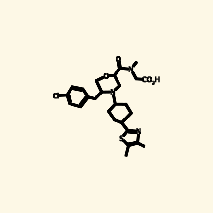 Cc1nc(C2CCC(N3CC(C(=O)N(C)CC(=O)O)OCC3Cc3ccc(Cl)cc3)CC2)sc1C